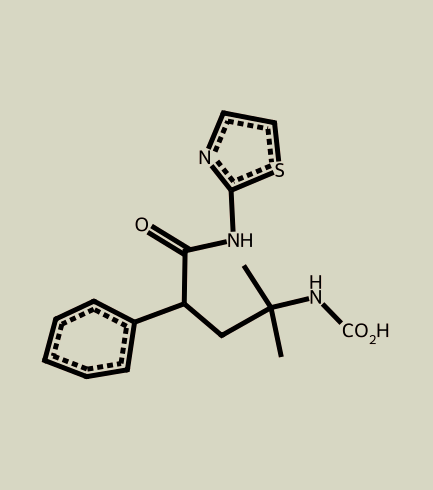 CC(C)(CC(C(=O)Nc1nccs1)c1ccccc1)NC(=O)O